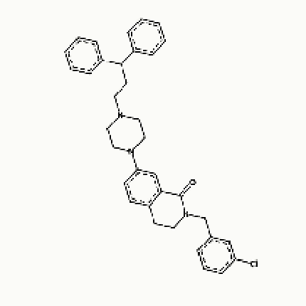 O=C1c2cc(N3CCN(CCC(c4ccccc4)c4ccccc4)CC3)ccc2CCN1Cc1cccc(Cl)c1